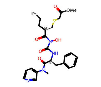 COC(=O)CSC[C@@H](CCC(C)C)C(=O)N(O)C(=O)N[C@@H](Cc1ccccc1)C(=O)N(C)c1cccnc1